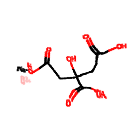 O=C(O)CC(O)(CC(=O)O)C(=O)O.[B+3].[Na+]